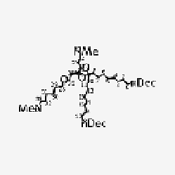 CCCCCCCCCCCCCCCCCCC1(CCCCCCCCCCCCCCCCCC)OC(CCNC)C(CCOCCCCCCNC)O1